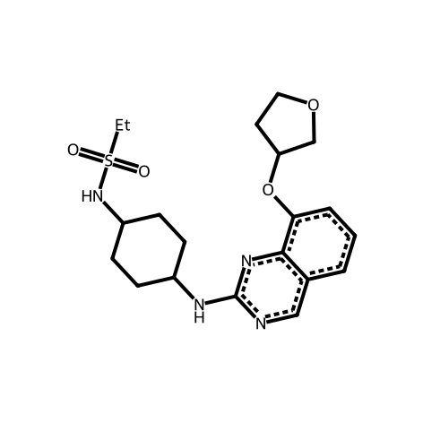 CCS(=O)(=O)NC1CCC(Nc2ncc3cccc(OC4CCOC4)c3n2)CC1